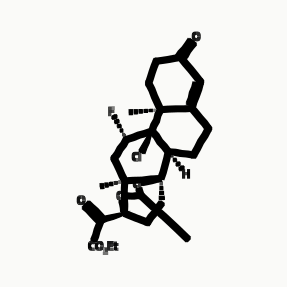 CCOC(=O)C(=O)[C@@]12CC[C@@]3(OC(C)O1)[C@@H]1CCC4=CC(=O)CC[C@]4(C)[C@@]1(Cl)[C@@H](F)C[C@]23C